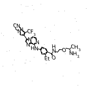 CCc1cc(Nc2nccn3c(-c4cn(CC#N)nc4C(F)(F)F)cnc23)ccc1C(=O)NCCOC[C@@H](C)N